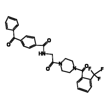 O=C(NCC(=O)N1CCN(C(=O)c2ccccc2C(F)(F)F)CC1)c1ccc(C(=O)c2ccccc2)cc1